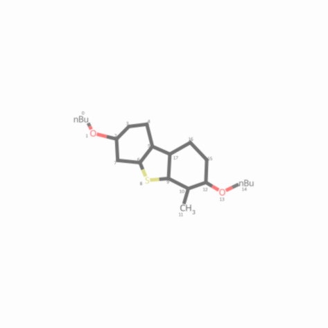 CCCCOC1CCC2C(C1)SC1C(C)C(OCCCC)CCC21